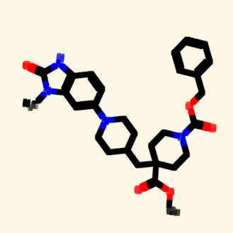 Cn1c(=O)[nH]c2ccc(N3CCC(CC4(C(=O)OC(C)(C)C)CCN(C(=O)OCc5ccccc5)CC4)CC3)cc21